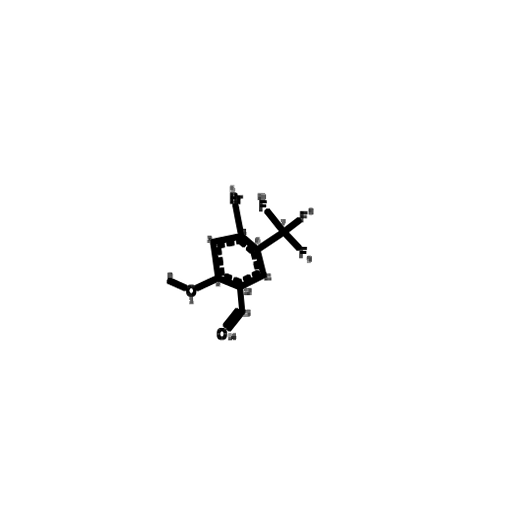 COc1cc(Br)c(C(F)(F)F)cc1C=O